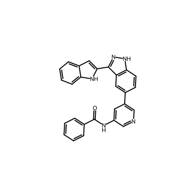 O=C(Nc1cncc(-c2ccc3[nH]nc(-c4cc5ccccc5[nH]4)c3c2)c1)c1ccccc1